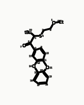 CCOCCSC(C(=O)c1ccc2c(c1)Oc1ccccc1O2)C(C)(C)C